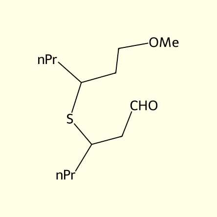 CCCC(CC=O)SC(CCC)CCOC